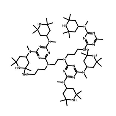 CNCCCN(CCN(CCCNc1nc(C)nc(N(C)C2CC(C)(C)NC(C)(C)C2)n1)c1nc(N(C)C2CC(C)(C)NC(C)(C)C2)nc(N(C)C2CC(C)(C)NC(C)(C)C2)n1)c1nc(N(C)C2CC(C)(C)NC(C)(C)C2)nc(N(C)C2CC(C)(C)NC(C)(C)C2)n1